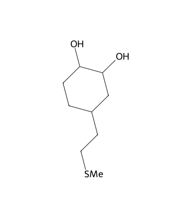 CSCCC1CCC(O)C(O)C1